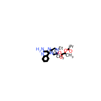 CCNCc1nc2c(N)nc3ccccc3c2n1CC(C)(C)OC(=O)C(C)OC(=O)C(C)C